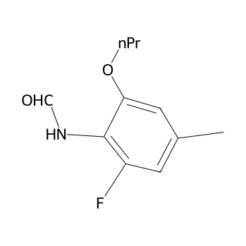 CCCOc1cc(C)cc(F)c1NC=O